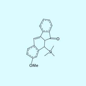 COc1ccc2c(c1)C([Si](C)(C)C)C1C(=O)c3ccccc3C1=C2